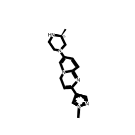 C[C@H]1CN(C2=CN3CC=C(c4cnn(C)c4)N=C3C=C2)CCN1